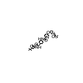 CN(C)C(=O)CN1CCC(Oc2ccc(C(=O)Nc3ccc(CC(=O)Nc4cc(C(C)(C)C)on4)cc3)nc2)C1